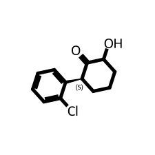 O=C1C(O)CCC[C@H]1c1ccccc1Cl